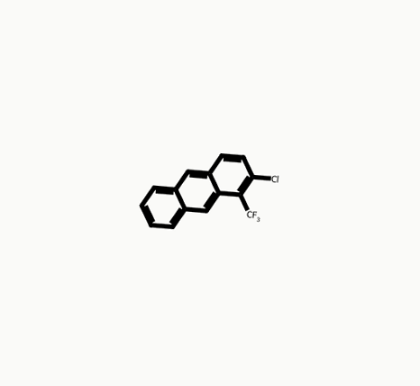 FC(F)(F)c1c(Cl)ccc2cc3ccccc3cc12